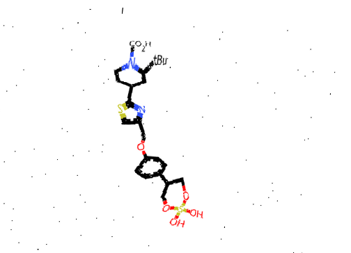 CC(C)(C)C1CC(c2nc(COc3ccc(C4COS(O)(O)OC4)cc3)cs2)CCN1C(=O)O